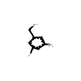 Nc1cc(I)cc(CF)c1